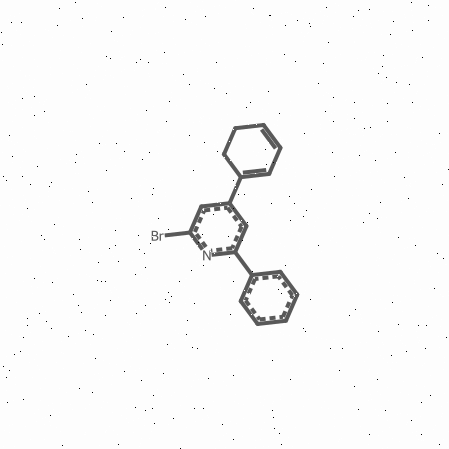 Brc1cc(C2=CC=CCC2)cc(-c2ccccc2)n1